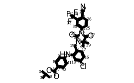 CC(C)(C)OC(=O)c1ccc(Nc2cc(Cl)ccc2CN2C(=O)N(c3ccc(C#N)c(C(F)(F)F)c3)C(=O)C2(C)C)cc1